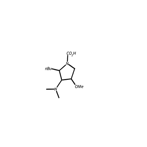 CCCCC1C(N(C)C)C(OC)CN1C(=O)O